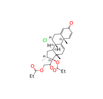 CCC(=O)OCC(=O)[C@]1(OC(=O)CC)[C@H](C)C[C@H]2[C@H]3C(=CC[C@@]21C)[C@@]1(C)C=CC(=O)C=C1C[C@H]3Cl